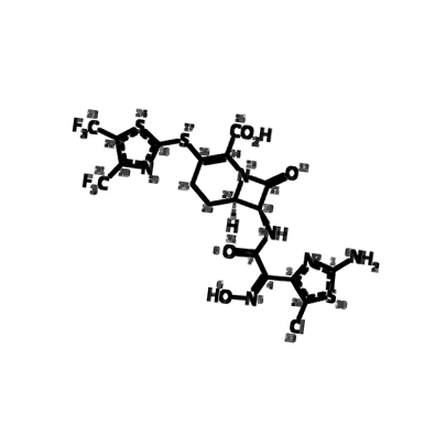 Nc1nc(/C(=N/O)C(=O)N[C@@H]2C(=O)N3C(C(=O)O)=C(Sc4nc(C(F)(F)F)c(C(F)(F)F)s4)CC[C@H]23)c(Cl)s1